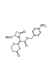 CSC1CC(=O)N1C(C(=O)OCc1ccc([N+](=O)[O-])cc1)=C1SCCC(=O)S1